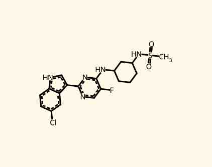 CS(=O)(=O)NC1CCCC(Nc2nc(-c3c[nH]c4ccc(Cl)cc34)ncc2F)C1